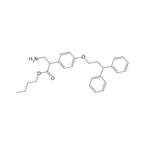 CCCCOC(=O)C(CN)c1ccc(OCCC(c2ccccc2)c2ccccc2)cc1